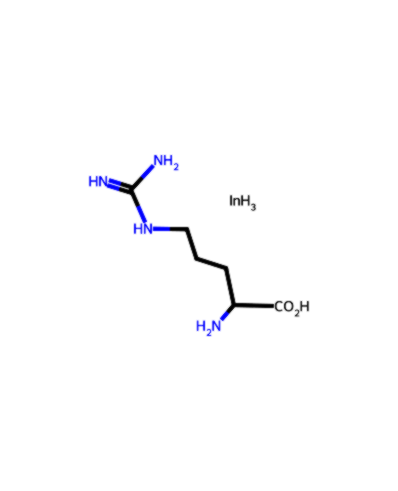 N=C(N)NCCCC(N)C(=O)O.[InH3]